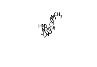 Cc1ccc(N2CC[C@@H](Nc3c(C(N)=O)nnc4[nH]ccc34)[C@@H](F)C2)nn1